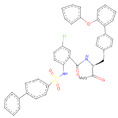 COC(=O)[C@H](Cc1ccc(-c2ccccc2Oc2ccccc2)cc1)NC(=O)c1cc(Cl)ccc1NS(=O)(=O)c1ccc(-c2ccccc2)cc1